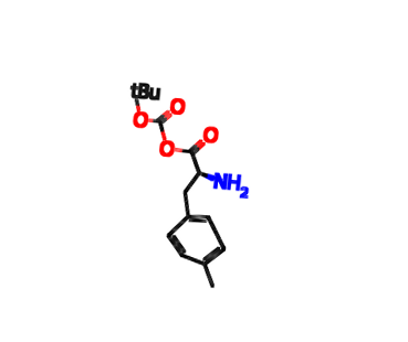 Cc1ccc(C[C@H](N)C(=O)OC(=O)OC(C)(C)C)cc1